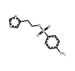 Cc1ccc(S(=O)(=O)OCCc2cscn2)cc1